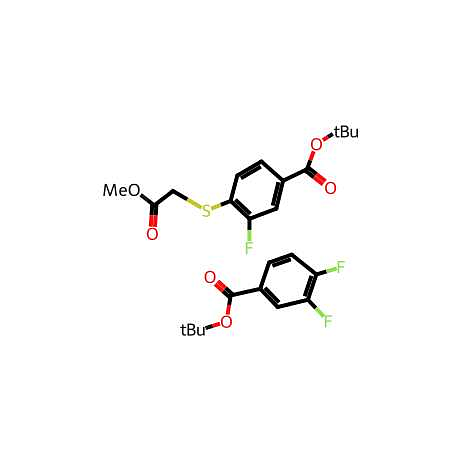 CC(C)(C)OC(=O)c1ccc(F)c(F)c1.COC(=O)CSc1ccc(C(=O)OC(C)(C)C)cc1F